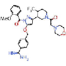 COc1ccccc1C(=O)n1nc(C2CN(C(=O)CN3CCOCC3)CCC2C(F)(F)F)cc1OCc1ccc(C(=N)N)cc1